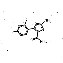 Cc1ccc(-c2sc(N)nc2C(N)=O)c(C)c1